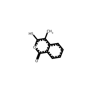 Cc1c(S)oc(=O)c2ccccc12